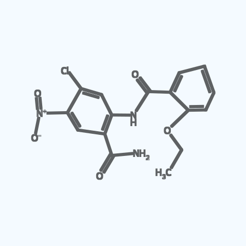 CCOc1ccccc1C(=O)Nc1cc(Cl)c([N+](=O)[O-])cc1C(N)=O